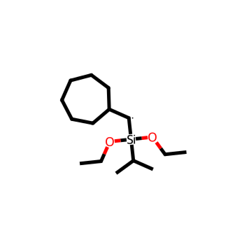 CCO[Si]([CH]C1CCCCCC1)(OCC)C(C)C